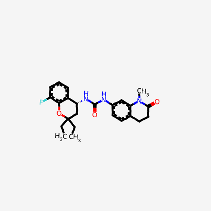 CCC1(CC)C[C@@H](NC(=O)Nc2ccc3c(c2)N(C)C(=O)CC3)c2cccc(F)c2O1